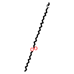 CCCCCCCCCCCCCCCCCCCCCCCCCC(=O)OCCCCCCCCCCCC